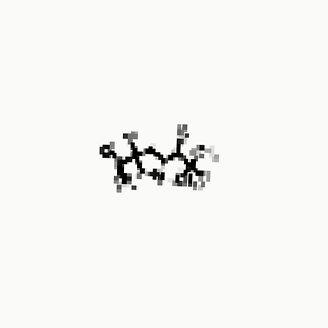 C=C(Cl)C(Cl)(CBr)CCC(Br)C(C)(C)Cl